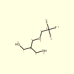 OCC(CO)COCC(F)(F)F